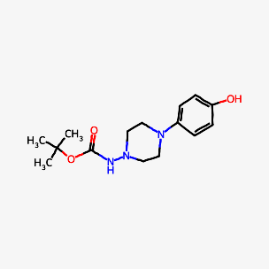 CC(C)(C)OC(=O)NN1CCN(c2ccc(O)cc2)CC1